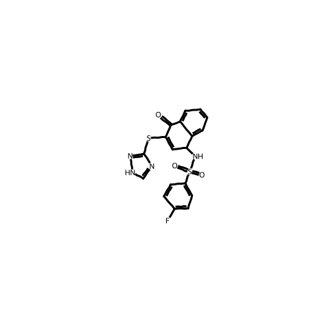 O=C1C(Sc2nc[nH]n2)=CC(NS(=O)(=O)c2ccc(F)cc2)c2ccccc21